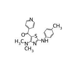 Cc1ccc(Nc2nc(N(C)C)c(C(=O)c3ccncc3)s2)cc1